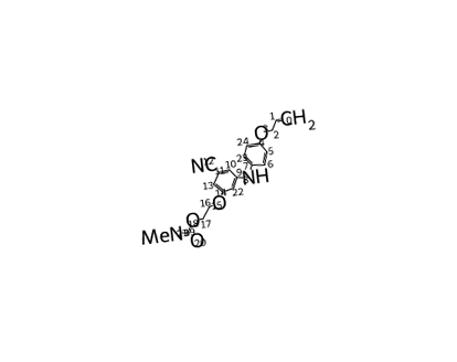 C=CCOc1ccc(Nc2cc(C#N)cc(OCCOC(=O)NC)c2)cc1